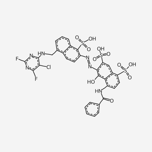 O=C(Nc1ccc(S(=O)(=O)O)c2cc(S(=O)(=O)O)c(/N=N/c3ccc4c(CNc5nc(F)nc(F)c5Cl)cccc4c3S(=O)(=O)O)c(O)c12)c1ccccc1